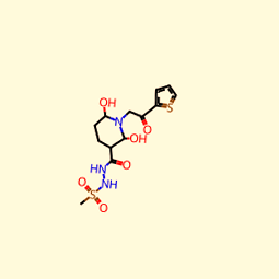 CS(=O)(=O)NNC(=O)C1CCC(O)N(CC(=O)c2cccs2)C1O